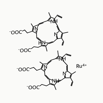 C=CC1=C(C)c2cc3[nH]c(cc4nc(cc5[nH]c(cc1n2)c(C)c5CCC(=O)[O-])C(CCC(=O)[O-])=C4C)c(C)c3C=C.C=CC1=C(C)c2cc3[nH]c(cc4nc(cc5[nH]c(cc1n2)c(C)c5CCC(=O)[O-])C(CCC(=O)[O-])=C4C)c(C)c3C=C.[Ru+4]